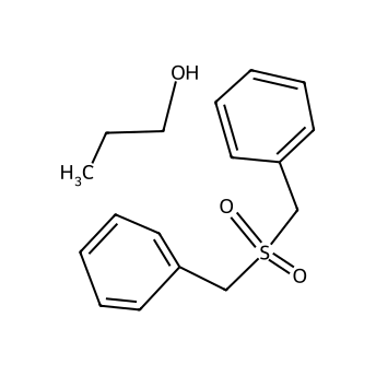 CCCO.O=S(=O)(Cc1ccccc1)Cc1ccccc1